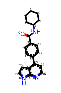 O=C(NC1CCCCC1)c1ccc(-c2ccnc3[nH]ccc23)cc1